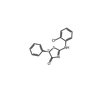 O=C1N=C(Nc2ccccc2Cl)S[C@@H]1c1ccccc1